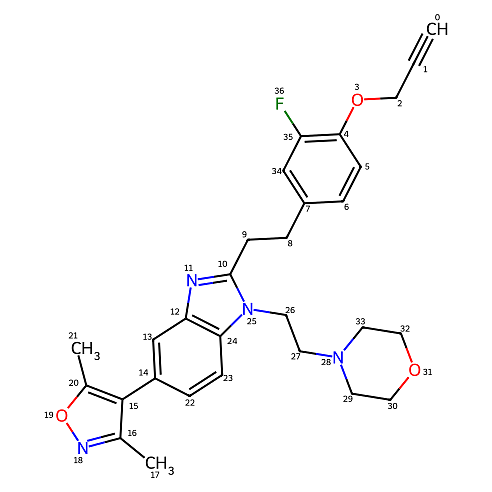 C#CCOc1ccc(CCc2nc3cc(-c4c(C)noc4C)ccc3n2CCN2CCOCC2)cc1F